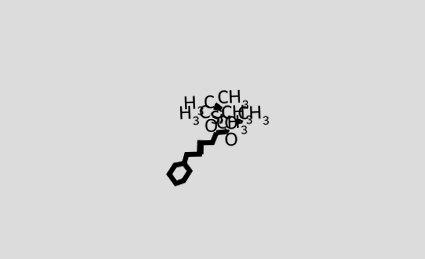 CCOC(=O)C(CC=CCC1CCCCC1)O[Si](C)(C)C(C)(C)C